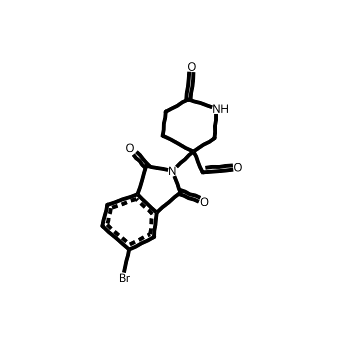 O=CC1(N2C(=O)c3ccc(Br)cc3C2=O)CCC(=O)NC1